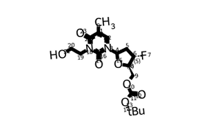 Cc1cn(C2C[C@H](F)[C@@H](COC(=O)OC(C)(C)C)O2)c(=O)n(CCO)c1=O